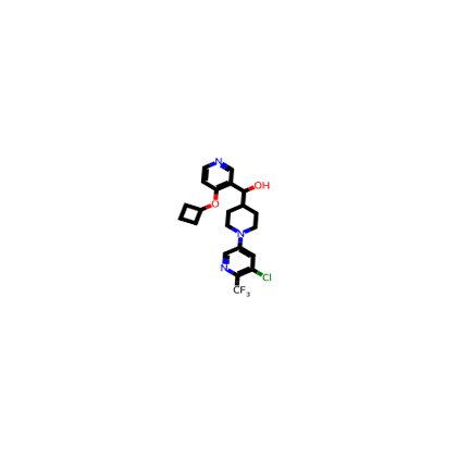 OC(c1cnccc1OC1CCC1)C1CCN(c2cnc(C(F)(F)F)c(Cl)c2)CC1